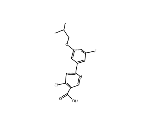 CC(C)COc1cc(F)cc(-c2cc(Cl)c(C(=O)O)cn2)c1